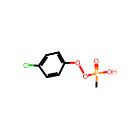 CP(=O)(O)OOc1ccc(Cl)cc1